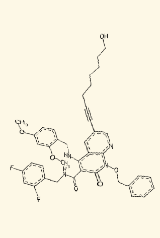 COc1ccc(CNc2c(C(=O)NCc3ccc(F)cc3F)c(=O)n(OCc3ccccc3)c3ncc(C#CCCCCCCO)cc23)c(OC)c1